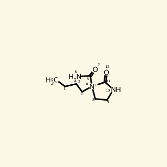 CCCC[N+]1(C(N)=O)CCNC1=O